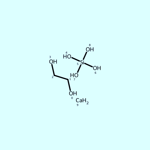 OCCO.O[Si](O)(O)O.[CaH2]